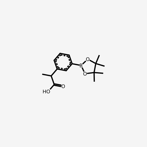 CC(C(=O)O)c1cccc(B2OC(C)(C)C(C)(C)O2)c1